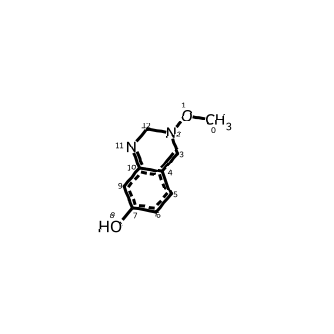 CON1C=c2ccc(O)cc2=NC1